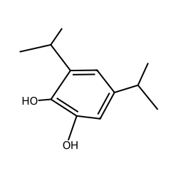 CC(C)c1cc(O)c(O)c(C(C)C)c1